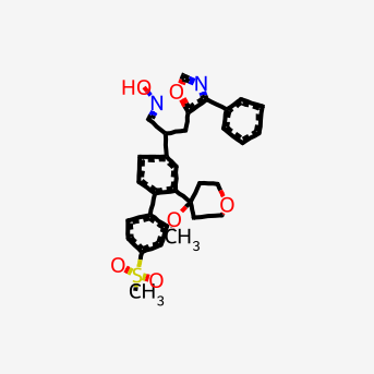 COC1(c2cc(C(/C=N/O)Cc3ocnc3-c3ccccc3)ccc2-c2ccc(S(C)(=O)=O)cc2)CCOCC1